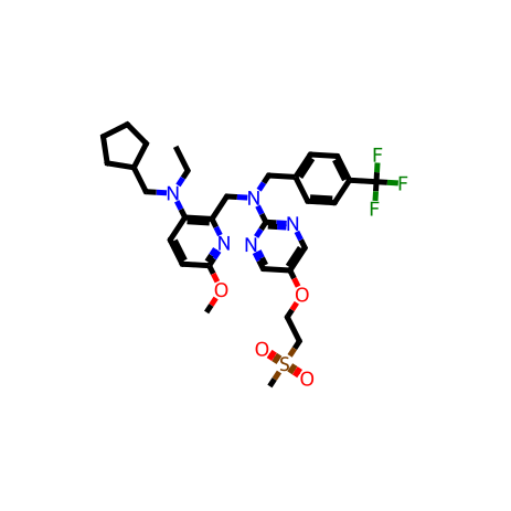 CCN(CC1CCCC1)c1ccc(OC)nc1CN(Cc1ccc(C(F)(F)F)cc1)c1ncc(OCCS(C)(=O)=O)cn1